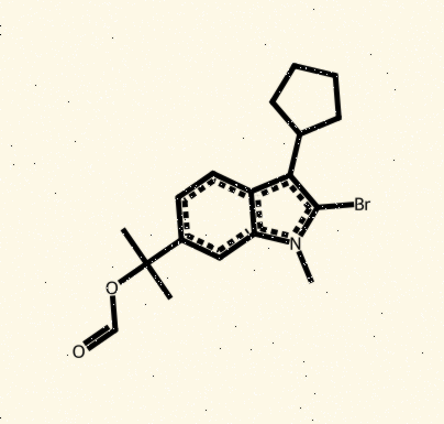 Cn1c(Br)c(C2CCCC2)c2ccc(C(C)(C)OC=O)cc21